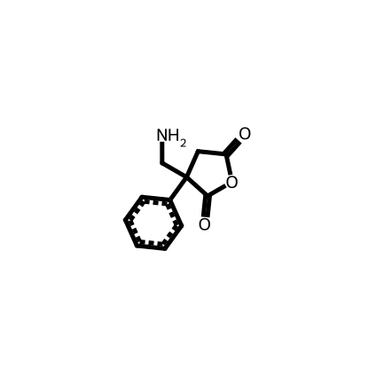 NCC1(c2ccccc2)CC(=O)OC1=O